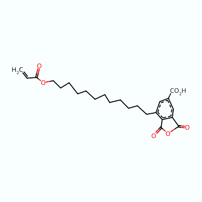 C=CC(=O)OCCCCCCCCCCCCc1cc(C(=O)O)cc2c1C(=O)OC2=O